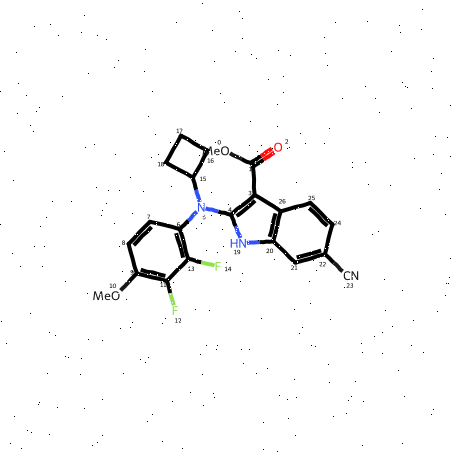 COC(=O)c1c(N(c2ccc(OC)c(F)c2F)C2CCC2)[nH]c2cc(C#N)ccc12